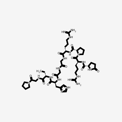 CC[C@H](NC(=O)[C@H](Cc1c[nH]cn1)NC(=O)CNC(=O)CNC(=O)[C@H](CCCNC(=N)N)NC(=O)[C@@H]1CCCN1C(=O)[C@H](CCCNC(=N)N)NC(=O)[C@@H]1CCC(=O)N1)C(=O)NCC(=O)N1CCCC1